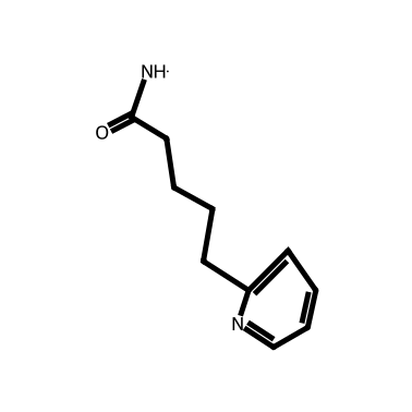 [NH]C(=O)CCCCc1ccccn1